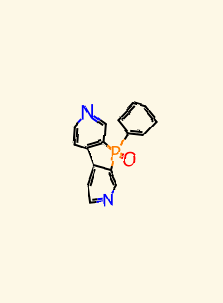 O=P1(c2ccccc2)c2cnccc2-c2ccncc21